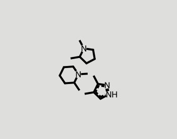 CC1CCCCN1C.CC1CCCN1C.Cc1c[nH]nc1C